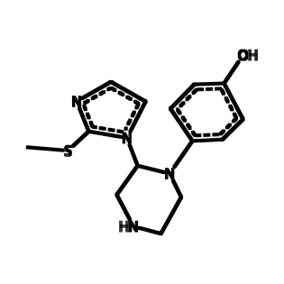 CSc1nccn1C1CNCCN1c1ccc(O)cc1